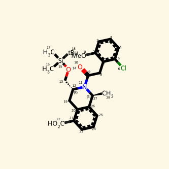 COc1cccc(Cl)c1CC(=O)N1[C@@H](CO[Si](C)(C)C(C)(C)C)Cc2c(C(=O)O)cccc2[C@@H]1C